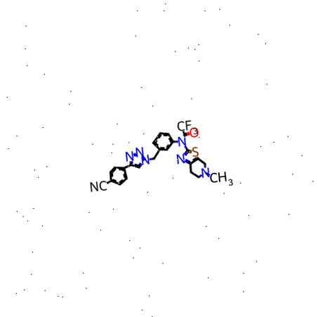 CN1CCc2nc(N(C(=O)C(F)(F)F)c3cccc(Cn4cc(-c5ccc(C#N)cc5)nn4)c3)sc2C1